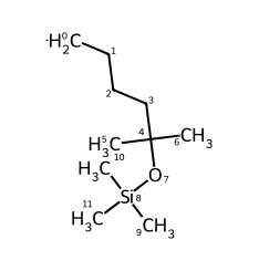 [CH2]CCCC(C)(C)O[Si](C)(C)C